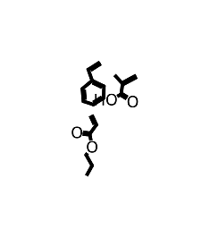 C=C(C)C(=O)O.C=CC(=O)OCCC.C=Cc1ccccc1